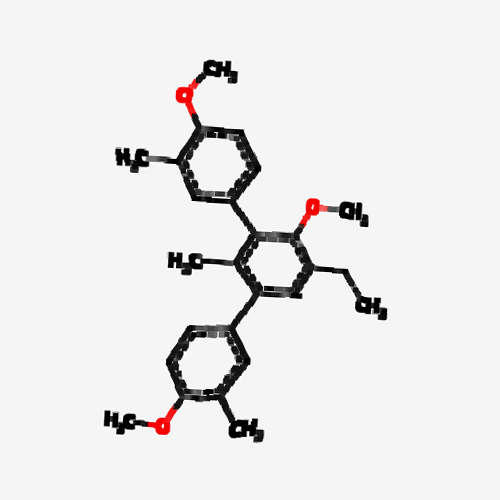 CCc1[c]c(-c2ccc(OC)c(C)c2)c(C)c(-c2ccc(OC)c(C)c2)c1OC